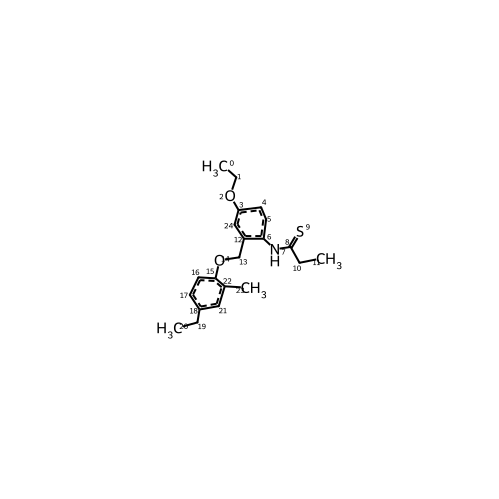 CCOc1ccc(NC(=S)CC)c(COc2ccc(CC)cc2C)c1